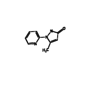 CC1=CC(=O)[N]N1c1ccccn1